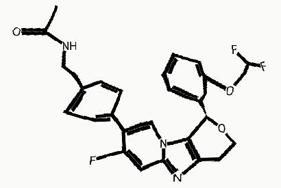 CC(=O)NCc1ccc(-c2cn3c4c(nc3cc2F)CCO[C@@H]4c2ccccc2OC(F)F)cc1